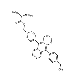 CCCCCCCCCC(CCCCCCC)C(=O)OCc1ccc(-c2c3ccccc3c(-c3ccc(CO)cc3)c3ccccc23)cc1